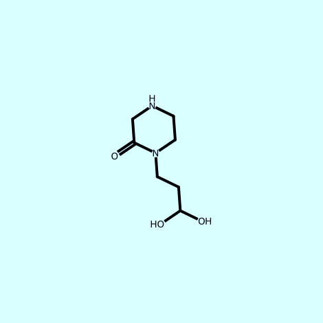 O=C1CNCCN1CCC(O)O